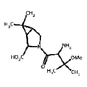 COC(C)(C)C(N)C(=O)N1CC2C(C1C(=O)O)C2(C)C